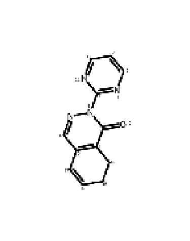 O=c1c2c(cnn1-c1ncccn1)C=CCC2